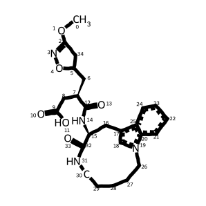 COC1=NOC(C[C@H](CC(=O)O)C(=O)N[C@H]2Cc3cn(c4ccccc34)CCCCCNC2=O)C1